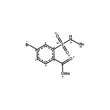 COC(=O)c1ccc(Br)cc1S(=O)(=O)NC(C)(C)C